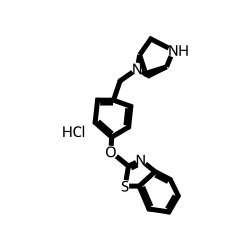 Cl.c1ccc2sc(Oc3ccc(CN4CC5CC4CN5)cc3)nc2c1